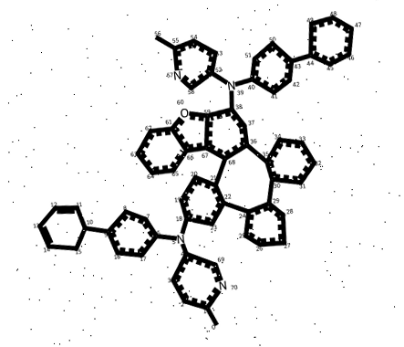 Cc1ccc(N(c2ccc(C3C=CC=CC3)cc2)c2ccc3c(c2)-c2ccccc2-c2ccccc2-c2cc(N(c4ccc(-c5ccccc5)cc4)c4ccc(C)nc4)c4oc5ccccc5c4c2-3)cn1